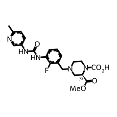 COC(=O)[C@H]1CN(Cc2cccc(NC(=O)Nc3ccc(C)nc3)c2F)CCN1C(=O)O